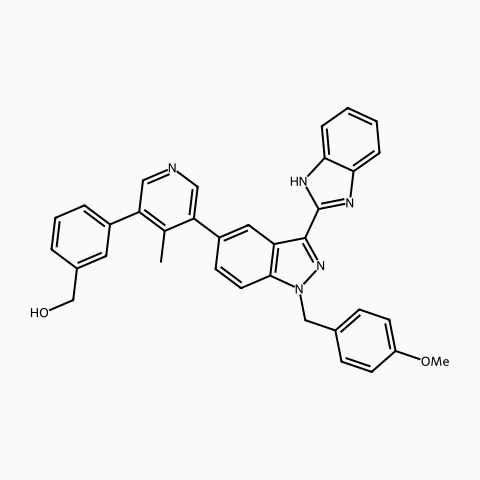 COc1ccc(Cn2nc(-c3nc4ccccc4[nH]3)c3cc(-c4cncc(-c5cccc(CO)c5)c4C)ccc32)cc1